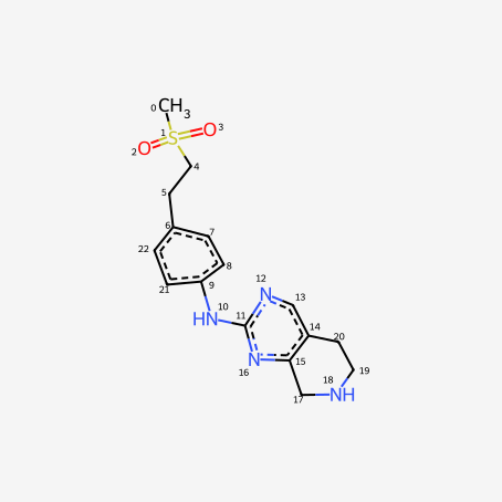 CS(=O)(=O)CCc1ccc(Nc2ncc3c(n2)CNCC3)cc1